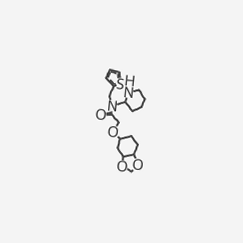 O=C(COC1CCC2OCOC2C1)N(Cc1cccs1)C1CCCCN1